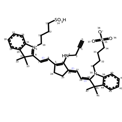 C#CCNC1=C(/C=C/C2=[N+](CCCCS(=O)(=O)O)c3ccccc3C2(C)C)CC/C1=C\C=C1/N(CCCCS(=O)(=O)[O-])c2ccccc2C1(C)C